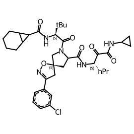 CCC[C@H](NC(=O)C1C[C@]2(CC(c3cccc(Cl)c3)=NO2)CN1C(=O)[C@@H](NC(=O)C1C2CCCCC21)C(C)(C)C)C(=O)C(=O)NC1CC1